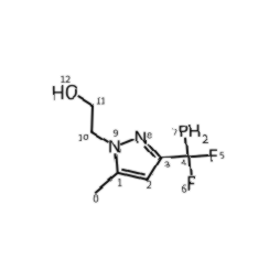 Cc1cc(C(F)(F)P)nn1CCO